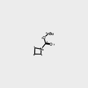 CCCCOC(=O)N1C[CH]C1